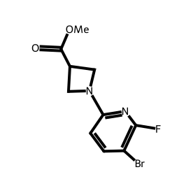 COC(=O)C1CN(c2ccc(Br)c(F)n2)C1